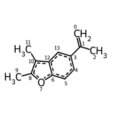 C=C(C)c1ccc2oc(C)c(C)c2c1